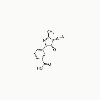 CC1=NN(c2cccc(C(=O)O)c2)C(=O)C1=[N+]=[N-]